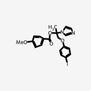 COc1ccc(C(=O)OC(C)(COc2ccc(I)cc2)n2ccnc2)cc1